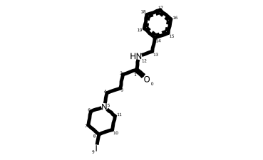 O=C(CCCN1CCC(I)CC1)NCc1ccccc1